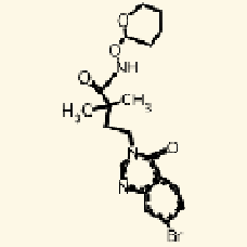 CC(C)(CCn1cnc2cc(Br)ccc2c1=O)C(=O)NO[C@@H]1CCCCO1